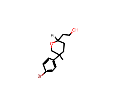 CCC1(CCO)CCC(C)(c2ccc(Br)cc2)CO1